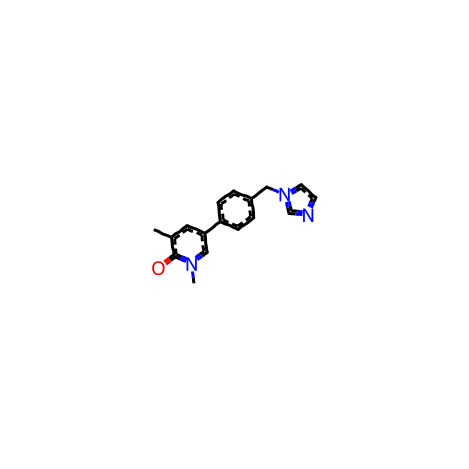 Cc1cc(-c2ccc(Cn3ccnc3)cc2)cn(C)c1=O